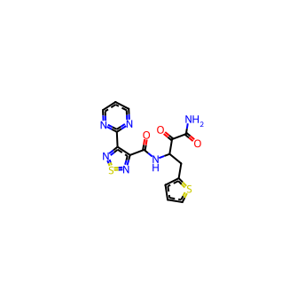 NC(=O)C(=O)C(Cc1cccs1)NC(=O)c1nsnc1-c1ncccn1